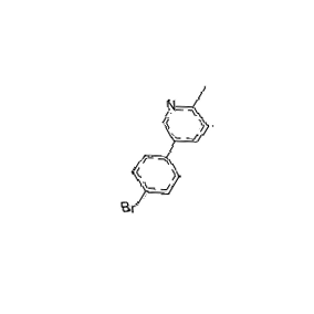 Cc1[c]cc(-c2ccc(Br)cc2)cn1